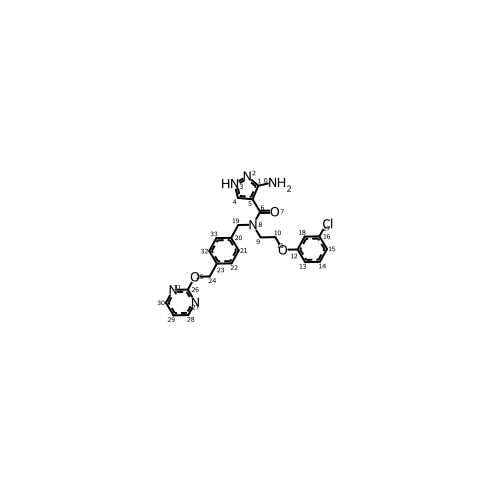 Nc1n[nH]cc1C(=O)N(CCOc1cccc(Cl)c1)Cc1ccc(COc2ncccn2)cc1